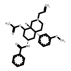 C=CCN1CC[C@@]2(c3cccc(OC)c3)C[C@H](NC(=O)c3ccccc3)CC(OC(C)=O)[C@@H]2C1